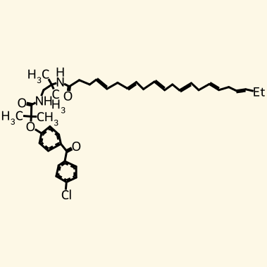 CCC=CCC=CCC=CCC=CCC=CCC=CCCC(=O)NC(C)(C)CNC(=O)C(C)(C)Oc1ccc(C(=O)c2ccc(Cl)cc2)cc1